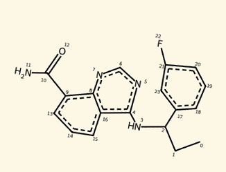 CCC(Nc1ncnc2c(C(N)=O)cccc12)c1cccc(F)c1